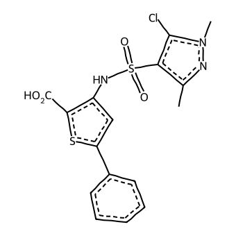 Cc1nn(C)c(Cl)c1S(=O)(=O)Nc1cc(-c2ccccc2)sc1C(=O)O